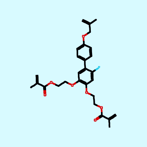 C=C(C)COc1ccc(-c2cc(OCCOC(=O)C(=C)C)c(OCCOC(=O)C(=C)C)cc2F)cc1